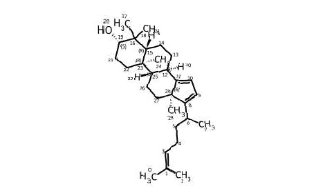 CC(C)=CCCC(C)C1=CC=C2[C@@H]3CC[C@H]4C(C)(C)[C@@H](O)CC[C@]4(C)[C@H]3CC[C@]12C